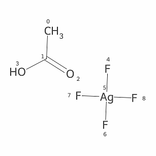 CC(=O)O.[F][Ag]([F])([F])[F]